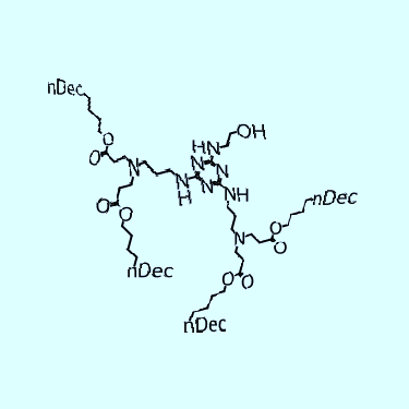 CCCCCCCCCCCCCCOC(=O)CCN(CCCNc1nc(NCCO)nc(NCCCN(CCC(=O)OCCCCCCCCCCCCCC)CCC(=O)OCCCCCCCCCCCCCC)n1)CCC(=O)OCCCCCCCCCCCCCC